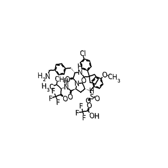 COc1ccc(C([C@@H]2C[C@@H](C(=O)N[C@H](C(=O)C(F)(F)F)C(C)C)N(C(=O)[C@H](Cc3ccc(CN)cc3)NC(=O)C3(c4ccc(Cl)cc4)CCCC3)C2)[SH](=O)=O)cc1.O=C(O)C(F)(F)F